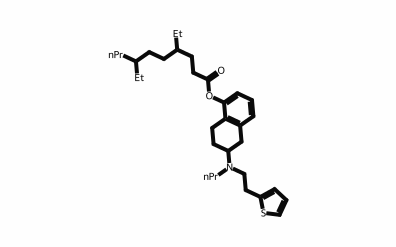 CCCC(CC)CCC(CC)CCC(=O)Oc1cccc2c1CCC(N(CCC)CCc1cccs1)C2